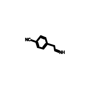 N#Cc1ccc(CC=N)cc1